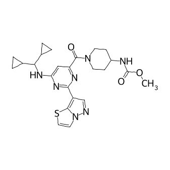 COC(=O)NC1CCN(C(=O)c2cc(NC(C3CC3)C3CC3)nc(-c3cnn4ccsc34)n2)CC1